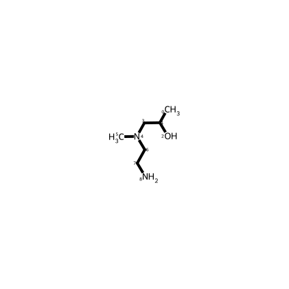 CC(O)CN(C)CCN